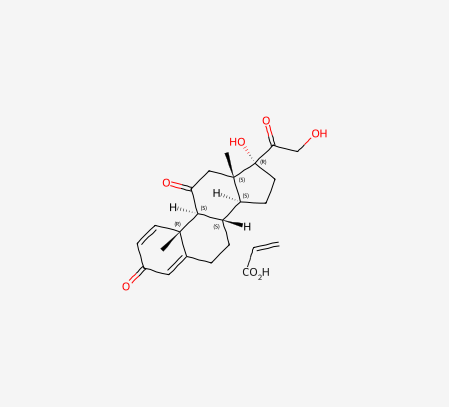 C=CC(=O)O.C[C@]12C=CC(=O)C=C1CC[C@@H]1[C@@H]2C(=O)C[C@@]2(C)[C@H]1CC[C@]2(O)C(=O)CO